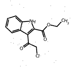 CCOC(=O)c1[nH]c2ccccc2c1C(=O)CCl